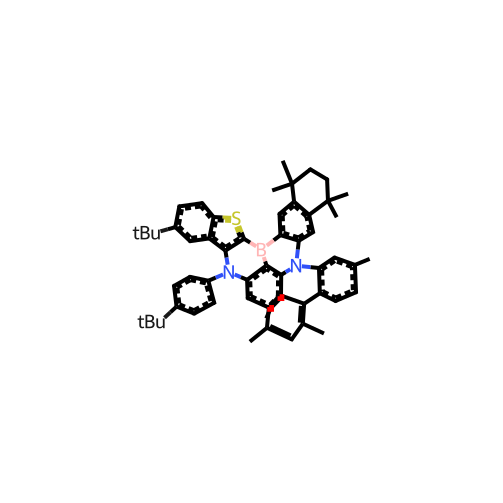 CC1=CC(C)=C(c2ccc(C)cc2N2c3cc4c(cc3B3c5sc6ccc(C(C)(C)C)cc6c5N(c5ccc(C(C)(C)C)cc5)c5cc(C)cc2c53)C(C)(C)CCC4(C)C)CC1